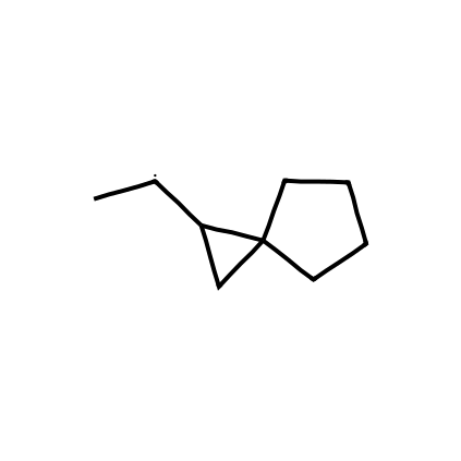 C[CH]C1CC12CCCC2